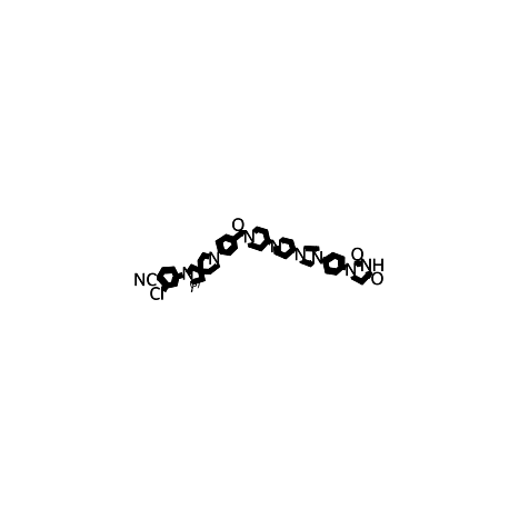 C[C@H]1CC2(CCN(c3ccc(C(=O)N4CCC(N5CCC(N6CCN(c7ccc(N8CCC(=O)NC8=O)cc7)CC6)CC5)CC4)cc3)CC2)CN1c1ccc(C#N)c(Cl)c1